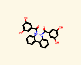 O=C(Nc1ccccc1-c1ccccc1NC(=O)c1cc(O)cc(O)c1)c1cc(O)cc(O)c1